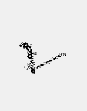 CCc1c2c(nc3ccc(OCC(=O)N/N=C(\C)c4ccccc4OCCOCCOCCOCCOCCOCCN=[N+]=[N-])cc13)-c1cc3c(c(=O)n1C2)COC(=O)[C@]3(O)CC